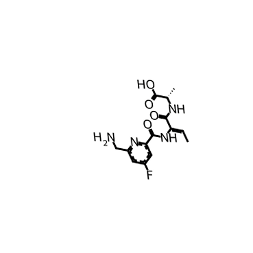 C/C=C(\NC(=O)c1cc(F)cc(CN)n1)C(=O)N[C@@H](C)C(=O)O